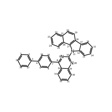 c1ccc(-c2ccc(-c3nc(-n4c5ccccc5c5ccc6ccccc6c54)nc4ccccc34)cc2)cc1